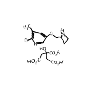 Cc1cc(OC[C@@H]2CCN2)cnc1Cl.O=C(O)CC(O)(CC(=O)O)C(=O)O